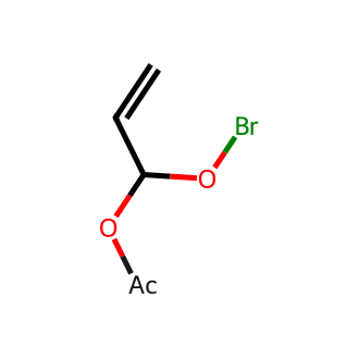 C=CC(OBr)OC(C)=O